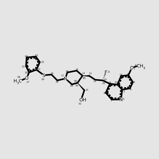 COc1ccc2nccc([C@@H](F)CC[C@@H]3CCN(CCSc4ccccc4OC)C[C@@H]3CO)c2c1